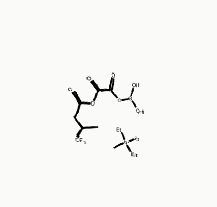 CC(CC(=O)OC(=O)C(=O)OB(O)O)C(F)(F)F.CC[N+](C)(CC)CC